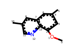 COc1cc(C)cc2cc(C)cnc12